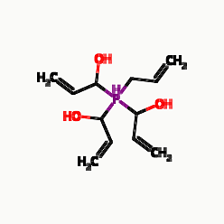 C=CC[PH](C(O)C=C)(C(O)C=C)C(O)C=C